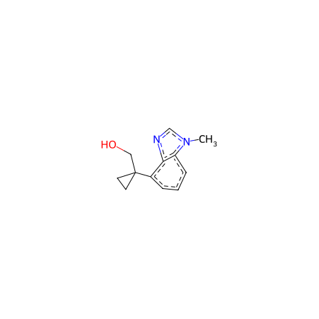 Cn1cnc2c(C3(CO)CC3)cccc21